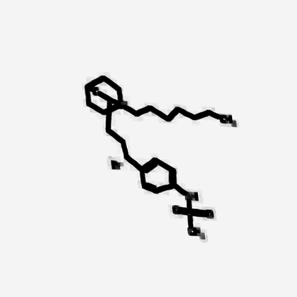 CCCCCCC[N+]12CCC(CC1)CC2CCCc1ccc(NS(C)(=O)=O)cc1.[Br-]